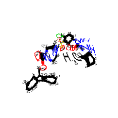 CC1=CCCC1NC(=O)Nc1ccc(Cl)c(S(=O)(=O)N2CCN(C(=O)OCC3c4ccccc4-c4ccccc43)CC2)c1O